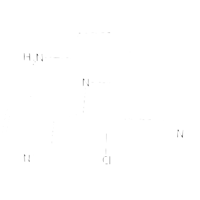 N#Cc1c(Cl)c(-c2cccnc2)n2c1CCCC2N